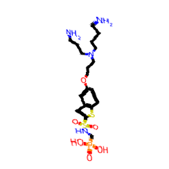 NCCCCN(CCCN)CCCOc1ccc2sc(S(=O)(=O)NCP(=O)(O)O)cc2c1